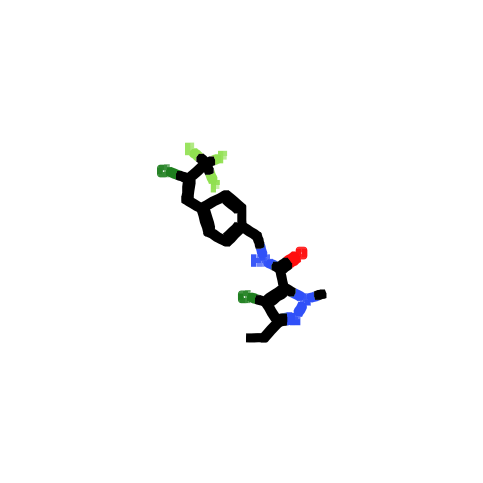 CCc1nn(C)c(C(=O)NCc2ccc(/C=C(/Cl)C(F)(F)F)cc2)c1Cl